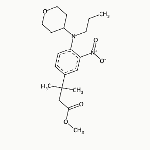 CCCN(c1ccc(C(C)(C)CC(=O)OC)cc1[N+](=O)[O-])C1CCOCC1